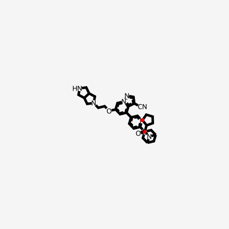 N#Cc1cnn2cc(OCCN3CC4CNCC4C3)cc(-c3ccc(N4CC5CC(C4)N5C(=O)C4CCCC4)nc3)c12